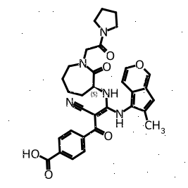 Cc1cc2coccc-2c1NC(N[C@H]1CCCCN(CC(=O)N2CCCC2)C1=O)=C(C#N)C(=O)c1ccc(C(=O)O)cc1